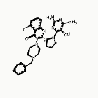 N#Cc1c(N)nc(N)nc1N1CCC[C@@H]1c1nc2cccc(F)c2c(=O)n1N1CCN(Cc2ccccc2)CC1